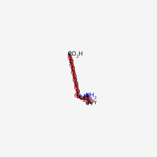 CCCN(OC(C)C)C(=O)C1=Cc2sc(CC3CN(C(=O)CCOCCOCCOCCOCCOCCOCCOCCOCCOCCOCCC(=O)O)C3)cc2N=C(N)C1